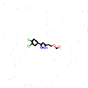 O=COCCc1cc(-c2ccc(F)c(Cl)c2)n[nH]1